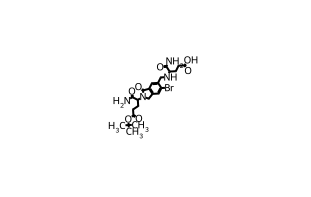 CC(C)(C)OC(=O)CCC(C(N)=O)N1Cc2cc(Br)c(CNC(CCC(=O)O)C(N)=O)cc2C1=O